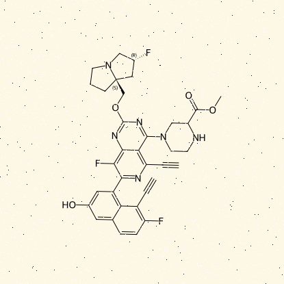 C#Cc1c(F)ccc2cc(O)cc(-c3nc(C#C)c4c(N5CCNC(C(=O)OC)C5)nc(OC[C@@]56CCCN5C[C@H](F)C6)nc4c3F)c12